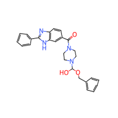 O=C(c1ccc2nc(-c3ccccc3)[nH]c2c1)N1CCN(C(O)OCc2ccccc2)CC1